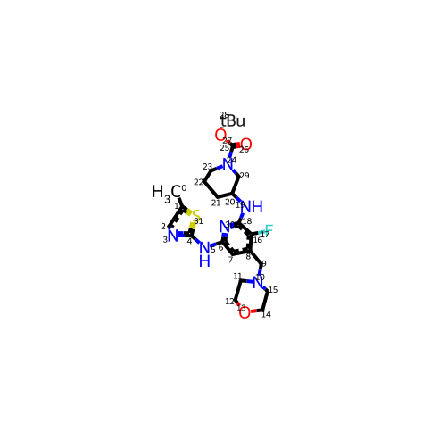 Cc1cnc(Nc2cc(CN3CCOCC3)c(F)c(NC3CCCN(C(=O)OC(C)(C)C)C3)n2)s1